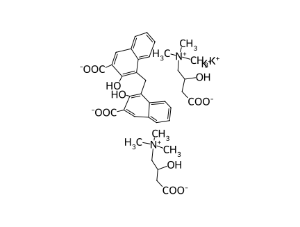 C[N+](C)(C)CC(O)CC(=O)[O-].C[N+](C)(C)CC(O)CC(=O)[O-].O=C([O-])c1cc2ccccc2c(Cc2c(O)c(C(=O)[O-])cc3ccccc23)c1O.[K+].[K+]